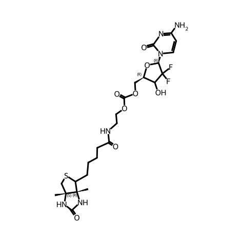 C[C@@]12CSC(CCCCC(=O)NCCOC(=O)OC[C@H]3O[C@@H](n4ccc(N)nc4=O)C(F)(F)C3O)[C@]1(C)NC(=O)N2